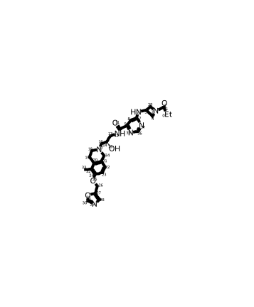 CCC(=O)N1CC(Nc2cc(C(=O)NC[C@H](O)CN3CCc4c(ccc(OCc5cnco5)c4C)C3)ncn2)C1